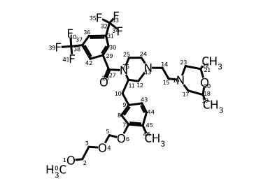 COCCOCOc1cc(CC2CN(CCN3CC(C)OC(C)C3)CCN2C(=O)c2cc(C(F)(F)F)cc(C(F)(F)F)c2)ccc1C